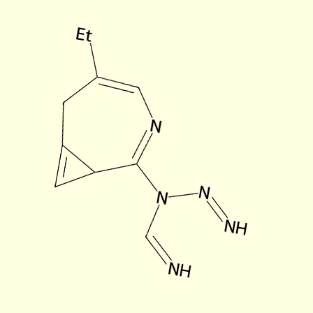 CCC1=CN=C(N(C=N)N=N)C2C=C2C1